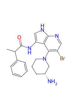 CC(C(=O)Nc1c[nH]c2ncc(Br)c(N3CCC[C@@H](N)C3)c12)c1ccccc1